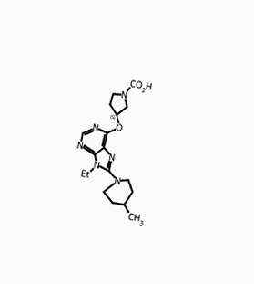 CCn1c(N2CCC(C)CC2)nc2c(O[C@H]3CCN(C(=O)O)C3)ncnc21